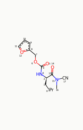 CC(C)C[C@@H](NC(=O)OCc1ccco1)C(=O)N(C)C#N